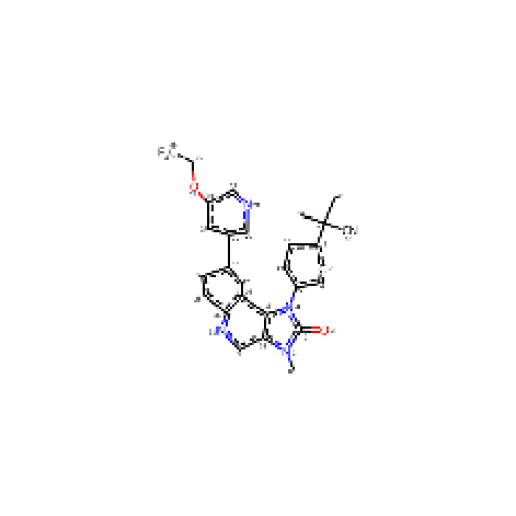 Cn1c(=O)n(-c2ccc(C(C)(C)C#N)cc2)c2c3cc(-c4cncc(OCC(F)(F)F)c4)ccc3ncc21